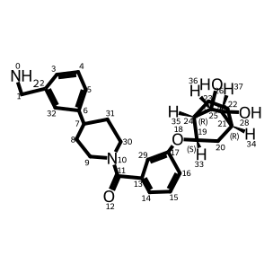 NCc1cccc(C2CCN(C(=O)c3cccc(O[C@H]4C[C@H]5CC[C@@H]4[C@H](O)[C@@H]5O)c3)CC2)c1